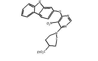 CCOC(=O)C1CCN(c2ncnc(Oc3ccc4c(c3)[nH]c3ccccc34)c2[N+](=O)[O-])CC1